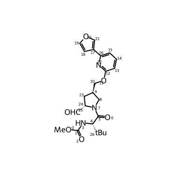 COC(=O)N[C@H](C(=O)N1C[C@H](COc2cccc(-c3ccoc3)n2)C[C@H]1C=O)C(C)(C)C